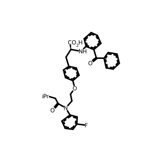 CC(C)CC(=O)N(CCOc1ccc(C[C@H](Nc2ccccc2C(=O)c2ccccc2)C(=O)O)cc1)c1cccc(F)c1